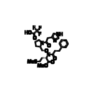 COC(=O)[C@H](CCSC)N(OCC1CCCN1C(=O)Cc1c[nH]cn1)C(=O)CCc1ccccc1.O=C(O)C(F)(F)F